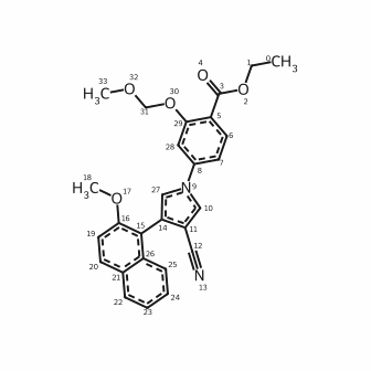 CCOC(=O)c1ccc(-n2cc(C#N)c(-c3c(OC)ccc4ccccc34)c2)cc1OCOC